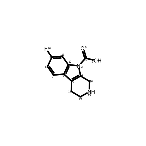 O=C(O)n1c2c(c3ccc(F)cc31)CCNC2